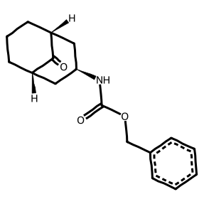 O=C(N[C@@H]1C[C@H]2CCC[C@@H](C1)C2=O)OCc1ccccc1